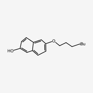 CCC(C)CCCOc1ccc2cc(O)ccc2c1